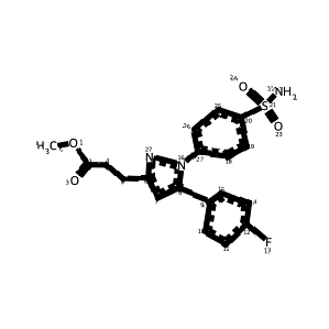 COC(=O)CCc1cc(-c2ccc(F)cc2)n(-c2ccc(S(N)(=O)=O)cc2)n1